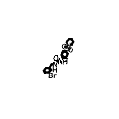 O=C(NCc1cccc(Br)c1)Nc1ccc(S(=O)(=O)N2CCCCC2)cc1